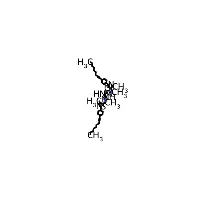 CCCCCCCC#Cc1ccc(-c2nc(C)c(/C(C)=N\NC(=N)N/N=C(\C)c3sc(-c4ccc(C#CCCCCCCC)cc4)nc3C)s2)cc1